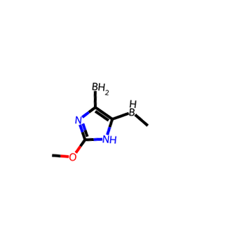 Bc1nc(OC)[nH]c1BC